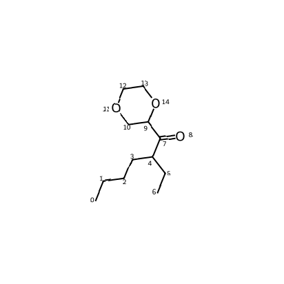 CCCCC(CC)C(=O)C1COCCO1